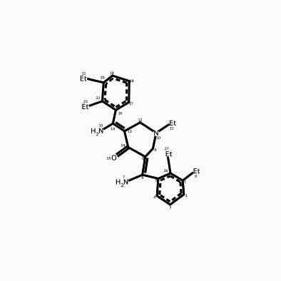 CCc1cccc(C(N)=C2CN(CC)CC(=C(N)c3cccc(CC)c3CC)C2=O)c1CC